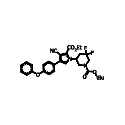 CCOC(=O)c1c(C#N)c(-c2ccc(Oc3ccccc3)cc2)cn1C1CN(C(=O)OC(C)(C)C)CC(F)(F)C1